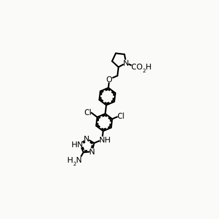 Nc1nc(Nc2cc(Cl)c(-c3ccc(OCC4CCCN4C(=O)O)cc3)c(Cl)c2)n[nH]1